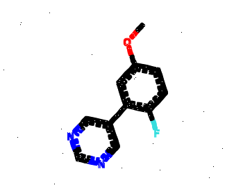 COc1ccc(F)c(-c2cncnc2)c1